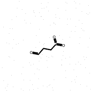 O=CCCI(=O)=O